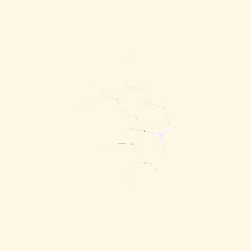 COc1cc2c(cc1OC)C1(I)C(CO)C(SC)OCN1CC2